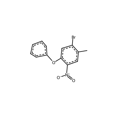 Cc1cc([N+](=O)[O-])c(Oc2ccccc2)cc1Br